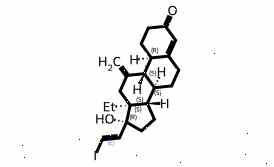 C=C1C[C@@]2(CC)[C@@H](CC[C@@]2(O)/C=C/I)[C@@H]2CCC3=CC(=O)CC[C@@H]3[C@@H]12